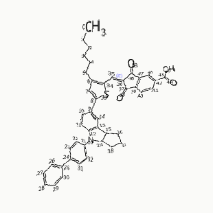 CCCCCCc1cc(-c2ccc3c(c2)C2CCCC2N3c2ccc(-c3ccccc3)cc2)sc1/C=C1\C(=O)c2ccc(C(=O)O)cc2C1=O